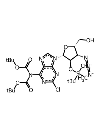 CC(C)(C)OC(=O)N(C(=O)OC(C)(C)C)c1nc(Cl)nc2c1ncn2[C@@H]1O[C@H](CO)[C@H](N=[N+]=[N-])[C@H]1O[Si](C)(C)C(C)(C)C